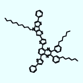 CCCCCCCCCCn1c2cc(-c3ccccc3)sc2c2sc(-c3ccc(-c4ccc(-c5ccc(-c6ccccc6)s5)c5nc(-c6cccc(CCCCCC)c6)c(-c6cccc(CCCCCC)c6)nc45)s3)cc21